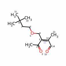 CC(=O)/C(COCCC(C)(C)C)=C(/C)C=O